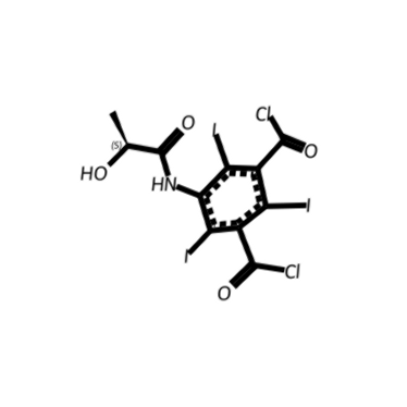 C[C@H](O)C(=O)Nc1c(I)c(C(=O)Cl)c(I)c(C(=O)Cl)c1I